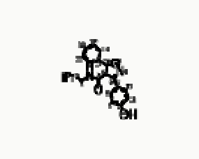 CC(C)CNC(=O)C1C(c2ccc(O)cc2)=NOC1c1ccccc1